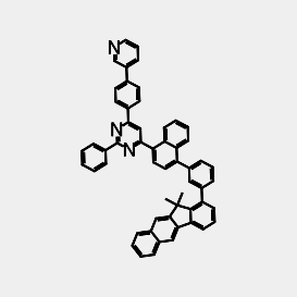 CC1(C)c2cc3ccccc3cc2-c2cccc(-c3cccc(-c4ccc(-c5cc(-c6ccc(-c7cccnc7)cc6)nc(-c6ccccc6)n5)c5ccccc45)c3)c21